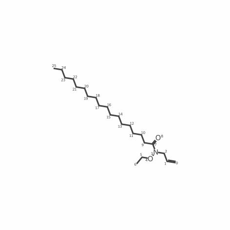 C=CCN(OCC)C(=O)CCCCCCCCCCCCCCCCC